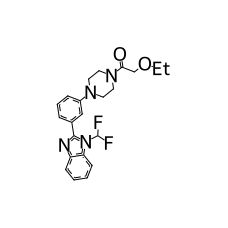 CCOCC(=O)N1CCN(c2cccc(-c3nc4ccccc4n3C(F)F)c2)CC1